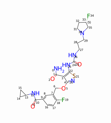 NC(=O)c1c(OCc2cc(C(=O)NC3CC3)ccc2F)nsc1NC(=O)NCCCN1CC[C@H](F)C1